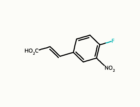 O=C(O)C=Cc1ccc(F)c([N+](=O)[O-])c1